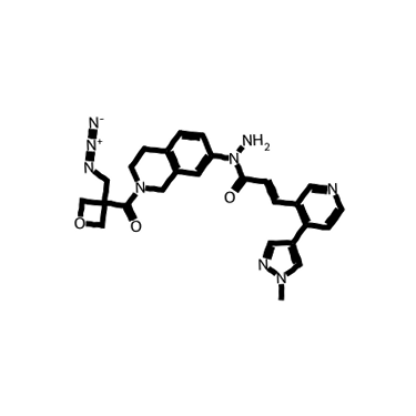 Cn1cc(-c2ccncc2/C=C/C(=O)N(N)c2ccc3c(c2)CN(C(=O)C2(CN=[N+]=[N-])COC2)CC3)cn1